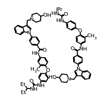 CCC(CC)NC(=O)Nc1ccc(Oc2ccc(NC(=O)c3ccc(-n4cc(CN5CCC(O)CC5)c5ccccc54)cc3)cc2C)cc1.Cc1cc(NC(=O)c2ccc(-n3cc(CN4CCC(O)CC4)c4ccccc43)cc2)ccc1Oc1ccc(NC(=O)NC(C)C)cc1